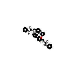 O=C(NCc1ccc(F)[c]([Ti]([C]2=CC=CC2)([C]2=CC=CC2)[c]2c(F)ccc(CNC(=O)Nc3ccccc3)c2F)c1F)Nc1ccccc1